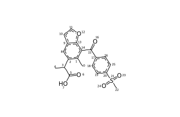 Cc1c(C(C)C(=O)O)cc2ccoc2c1C(=O)c1ccc(S(C)(=O)=O)cc1